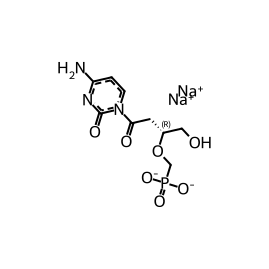 Nc1ccn(C(=O)C[C@H](CO)OCP(=O)([O-])[O-])c(=O)n1.[Na+].[Na+]